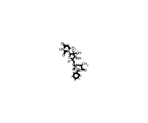 C[C@H](N[P@@](=O)(OC[C@@]1(F)O[C@@H](n2ccc(=O)[nH]c2=O)[C@](C)(O)[C@@H]1O)Oc1ccccc1)C(=O)O